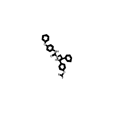 O=C(Nc1ccc(Oc2ccccc2)cc1)N1CC(c2ccccc2)=C(c2ccc(OC(F)F)cc2)N1